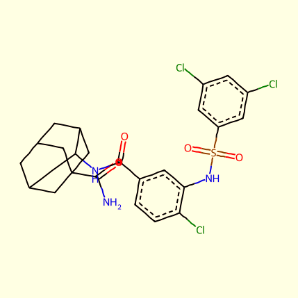 NC(=O)C12CC3CC(C1)C(NC(=O)c1ccc(Cl)c(NS(=O)(=O)c4cc(Cl)cc(Cl)c4)c1)C(C3)C2